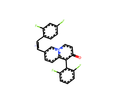 O=c1ccn2cc(/C=C\c3ccc(F)cc3F)ccc2c1-c1c(F)cccc1F